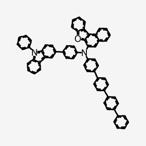 c1ccc(-c2ccc(-c3ccc(-c4ccc(N(c5ccc(-c6ccc7c(c6)c6ccccc6n7-c6ccccc6)cc5)c5cc6ccccc6c6c5oc5ccccc56)cc4)cc3)cc2)cc1